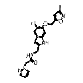 Cc1cc(COc2cc3[nH]c(CNC(=O)Cn4cccn4)cc3cc2Cl)on1